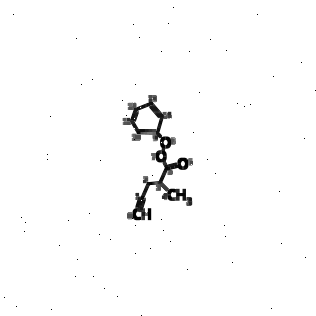 C#CCC(C)C(=O)OOc1ccccc1